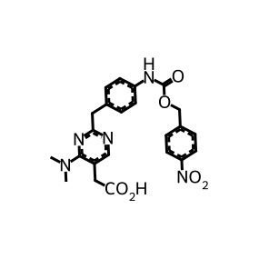 CN(C)c1nc(Cc2ccc(NC(=O)OCc3ccc([N+](=O)[O-])cc3)cc2)ncc1CC(=O)O